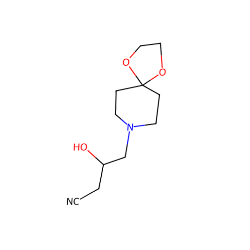 N#CCC(O)CN1CCC2(CC1)OCCO2